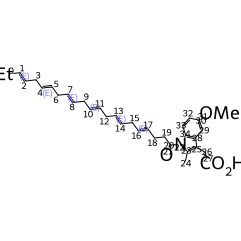 CC/C=C/C/C=C/C/C=C/C/C=C/C/C=C/C/C=C/CCC(=O)n1c(C)c(CC(=O)O)c2cc(OC)ccc21